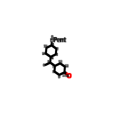 CCCCCC1CCC(C(C)C2CCC(=O)CC2)CC1